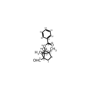 CC12CCC(C=O)(CC1OC(=O)c1ccccc1)C2(C)C